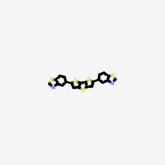 c1nc2cc(-c3cc4sc5cc(-c6ccc7scnc7c6)sc5c4s3)ccc2s1